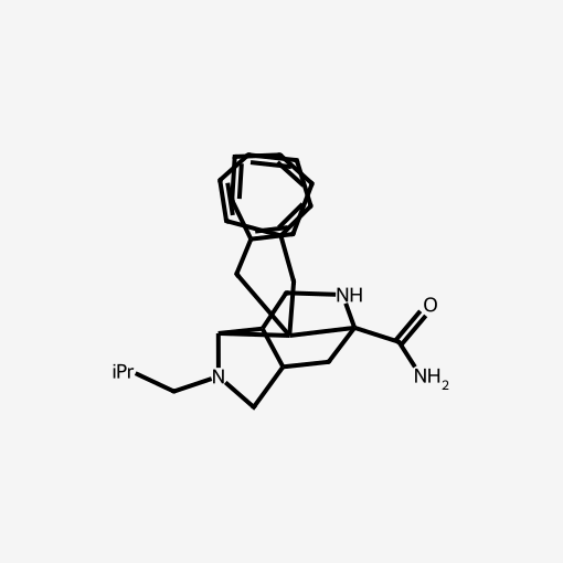 CC(C)CN1CC2CC3(C(N)=O)NCC2C1C3(Cc1ccccc1)Cc1ccccc1